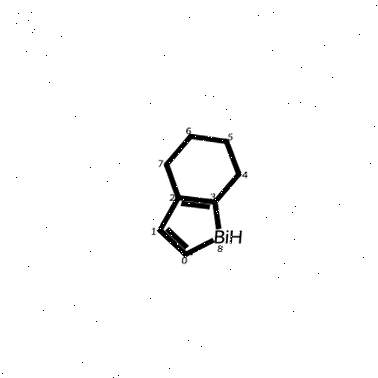 [C]1=CC2=[C](CCCC2)[BiH]1